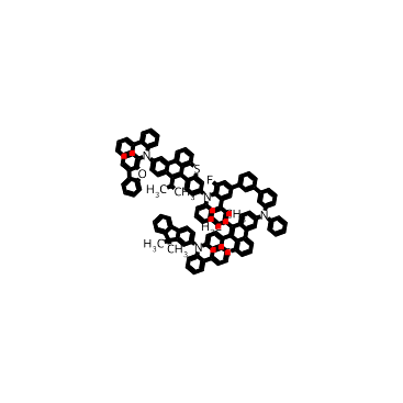 CC(C)c1c2c3c(cccc3c3cc(N(c4ccccc4)c4cccc(-c5cccc(-c6cc(F)c(N(c7ccccc7)c7ccc8c(c7)Sc7cccc9c7c-8c(C(C)C)c7ccc(N(c8ccccc8-c8ccccc8)c8cccc%10c8oc8ccccc8%10)cc79)c(-c7ccccc7)c6)c5)c4)ccc13)Sc1cc(N(c3ccc4c(c3)C(C)(C)c3ccccc3-4)c3ccccc3-c3ccccc3)ccc1-2